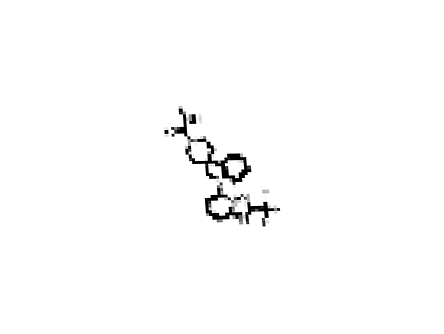 CNC(=O)N1CCC(CNc2cccc3nc(C(F)(F)F)nn23)(c2ccccc2)CC1